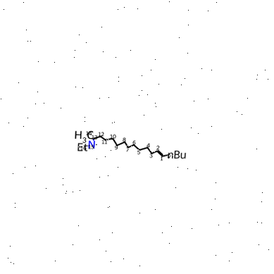 CCCCC=CCCCCCCCCCCC(C)[N]CC